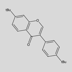 CC(C)(C)c1ccc(-c2coc3cc(C(C)(C)C)ccc3c2=O)cc1